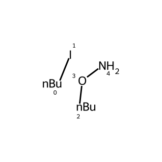 CCCCI.CCCCON